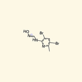 Cc1nc(N/C=N/O)c(Br)cc1Br